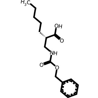 CCCCC[C@@H](CNC(=O)OCc1ccccc1)C(=O)O